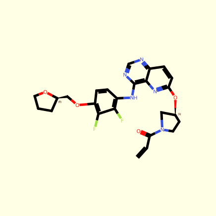 C=CC(=O)N1CC[C@H](Oc2ccc3ncnc(Nc4ccc(OC[C@H]5CCCO5)c(F)c4F)c3n2)C1